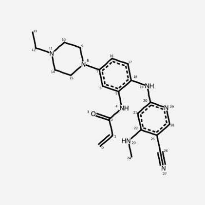 C=CC(=O)Nc1cc(N2CCN(CC)CC2)ccc1Nc1cc(NC)c(C#N)cn1